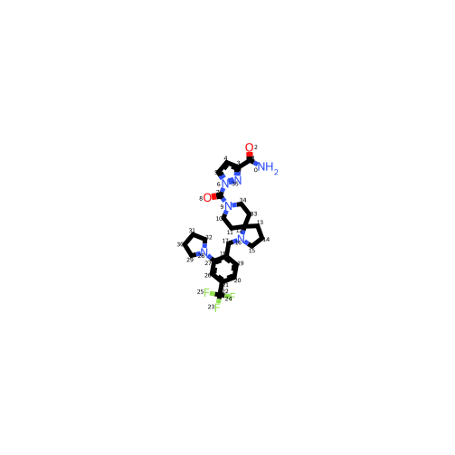 NC(=O)c1ccn(C(=O)N2CCC3(CCCN3Cc3ccc(C(F)(F)F)cc3N3CCCC3)CC2)n1